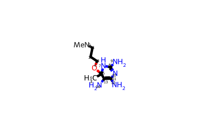 CNCCCOC1(C)NC(N)=NC(N)=C1N